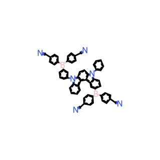 N#Cc1ccc(B(c2ccc(C#N)cc2)c2cccc(-n3c4ccccc4c4c5c6cc(B(c7ccc(C#N)cc7)c7ccc(C#N)cc7)ccc6n(-c6ccccc6)c5ccc43)c2)cc1